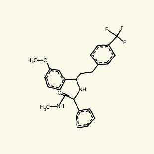 CNC(=O)C(NC(CCc1ccc(C(F)(F)F)cc1)c1cccc(OC)c1)c1ccccc1